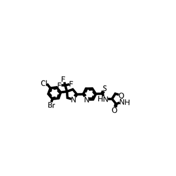 O=C1NOCC1NC(=S)c1ccc(C2=NCC(c3cc(Cl)cc(Br)c3)(C(F)(F)F)C2)nc1